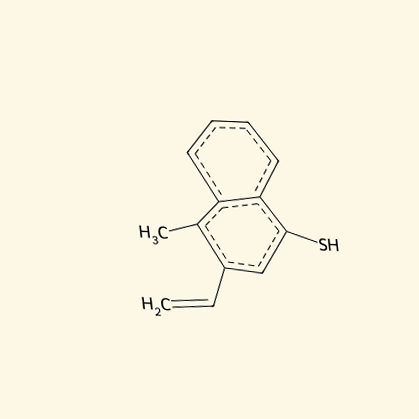 C=Cc1cc(S)c2ccccc2c1C